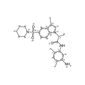 Cc1cc(C)c(NC(=O)C(C)n2cc(C)c3cc(S(=O)(=O)N4CCCCC4)ccc32)cc1N